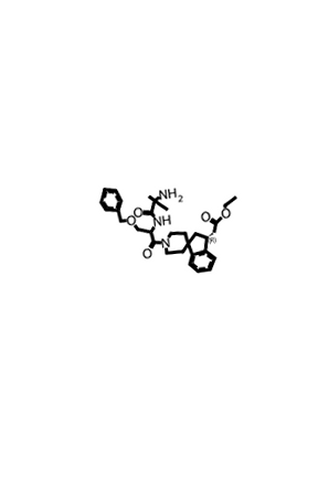 CCOC(=O)C[C@H]1CC2(CCN(C(=O)C(COCc3ccccc3)NC(=O)C(C)(C)N)CC2)c2ccccc21